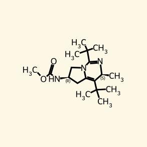 COC(=O)N[C@@H]1CC2=C(C(C)(C)C)[C@H](C)N=C(C(C)(C)C)N2C1